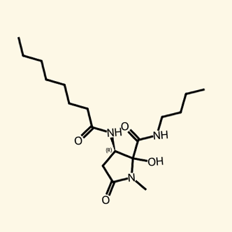 CCCCCCCC(=O)N[C@@H]1CC(=O)N(C)C1(O)C(=O)NCCCC